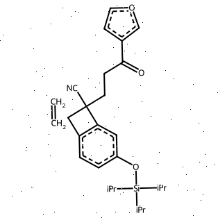 C=C.CC(C)[Si](Oc1ccc2c(c1)C(C#N)(CCC(=O)c1ccoc1)C2)(C(C)C)C(C)C